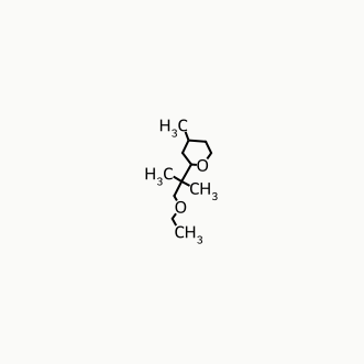 CCOCC(C)(C)C1CC(C)CCO1